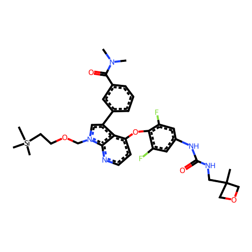 CN(C)C(=O)c1cccc(-c2cn(COCC[Si](C)(C)C)c3nccc(Oc4c(F)cc(NC(=O)NCC5(C)COC5)cc4F)c23)c1